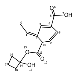 CC=C1C=C(C(=O)O)C=CC1C(=O)OC1(O)CCC1